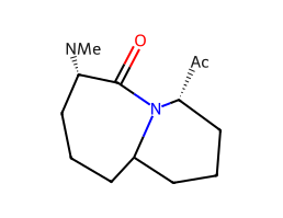 CN[C@H]1CCCC2CCC[C@@H](C(C)=O)N2C1=O